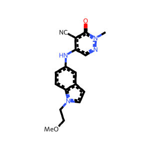 COCCn1ccc2cc(Nc3cnn(C)c(=O)c3C#N)ccc21